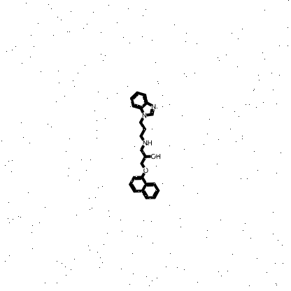 OC(CNCCCn1cnc2ccccc21)COc1cccc2ccccc12